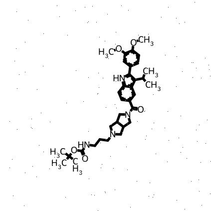 COc1ccc(-c2[nH]c3ccc(C(=O)N4CC5CN(CCCNC(=O)OC(C)(C)C)CC5C4)cc3c2C(C)C)cc1OC